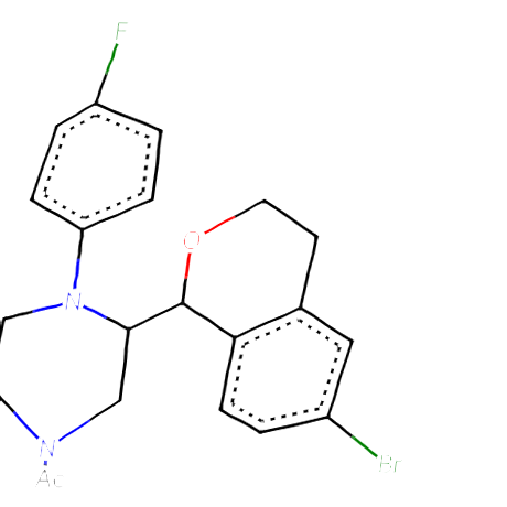 CC(=O)N1CCN(c2ccc(F)cc2)C(C2OCCc3cc(Br)ccc32)C1